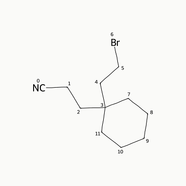 N#CCCC1(CCBr)CCCCC1